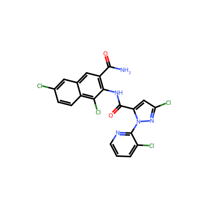 NC(=O)c1cc2cc(Cl)ccc2c(Cl)c1NC(=O)c1cc(Cl)nn1-c1ncccc1Cl